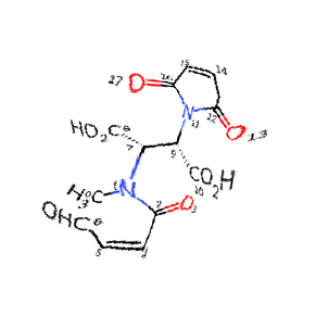 CN(C(=O)/C=C\C=O)[C@H](C(=O)O)[C@@H](C(=O)O)N1C(=O)C=CC1=O